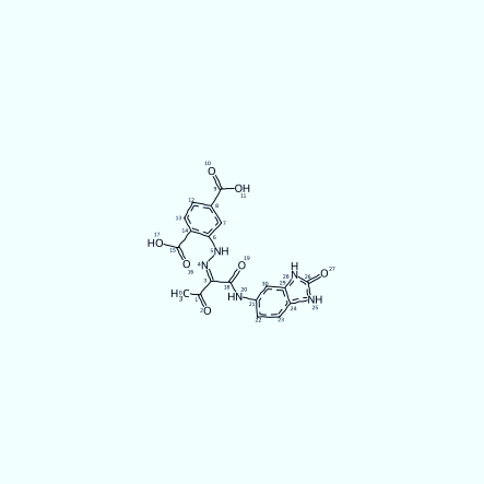 CC(=O)/C(=N/Nc1cc(C(=O)O)ccc1C(=O)O)C(=O)Nc1ccc2[nH]c(=O)[nH]c2c1